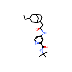 CCC1CC2CCC(CC(=O)Nc3ccnc(C(=O)NC(C)(C)C)c3)C(C1)C2